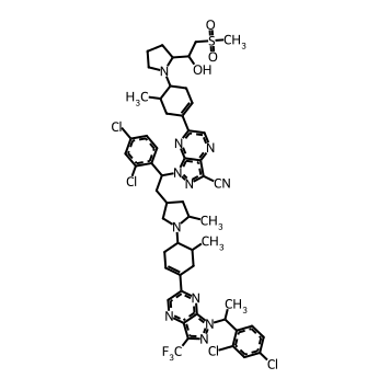 CC1CC(c2cnc3c(C(F)(F)F)nn(C(C)c4ccc(Cl)cc4Cl)c3n2)=CCC1N1CC(CC(c2ccc(Cl)cc2Cl)n2nc(C#N)c3ncc(C4=CCC(N5CCCC5C(O)CS(C)(=O)=O)C(C)C4)nc32)CC1C